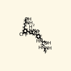 N=C(CF)NCC[C@H](CO)NCc1ccc(-n2cc3cc(-c4cc(CCC[C@@H](N)CO)cc(Cl)c4F)[nH]c3nc2=O)cc1